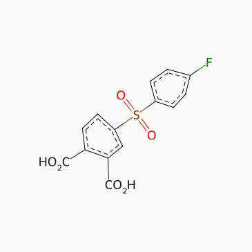 O=C(O)c1ccc(S(=O)(=O)c2ccc(F)cc2)cc1C(=O)O